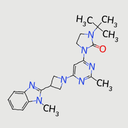 Cc1nc(N2CC(c3nc4ccccc4n3C)C2)cc(N2CCN(C(C)(C)C)C2=O)n1